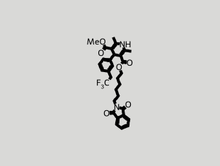 COC(=O)C1=C(C)NC(C)=C(C(=O)OCCCCCCN2C(=O)c3ccccc3C2=O)C1c1cccc(CC(F)(F)F)c1